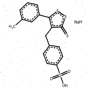 Cc1cccc(-c2ssc(=S)c2Cc2ccc(S(=O)(=O)O)cc2)c1.[NaH]